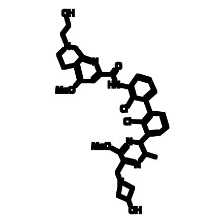 COC1=NC(c2cccc(-c3cccc(NC(=O)c4cc(OC)c5c(n4)CN(CCO)CC5)c3Cl)c2Cl)C(C)N=C1CN1CC(O)C1